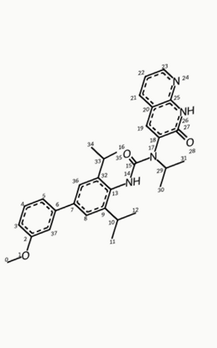 COc1cccc(-c2cc(C(C)C)c(NC(=O)N(c3cc4cccnc4[nH]c3=O)C(C)C)c(C(C)C)c2)c1